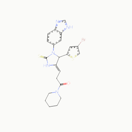 O=C(C/C=C1\NC(=S)N(c2ccc3nc[nH]c3c2)C1c1cc(Br)cs1)N1CCCCC1